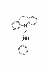 c1ccc(CNCCN2c3ccccc3CCc3ccccc32)cc1